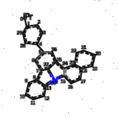 CC(C)c1ccc(-c2cc3c4ccccc4n4c5ccc6ccccc6c5c(c2)c34)cc1